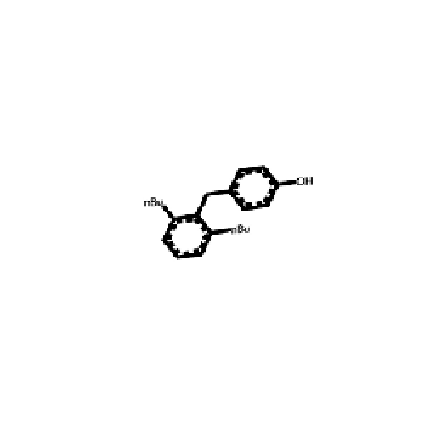 CCCCc1cccc(CCCC)c1Cc1ccc(O)cc1